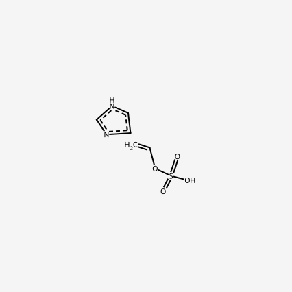 C=COS(=O)(=O)O.c1c[nH]cn1